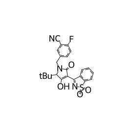 CC(C)(C)C1C(O)=C(C2=NS(=O)(=O)c3ccccc32)C(=O)N1Cc1ccc(F)c(C#N)c1